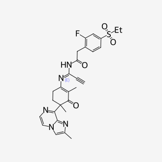 C#C/C(=N\C1=C(C)C(=O)C(C)(c2nccn3cc(C)nc23)CC1)NC(=O)Cc1ccc(S(=O)(=O)CC)cc1F